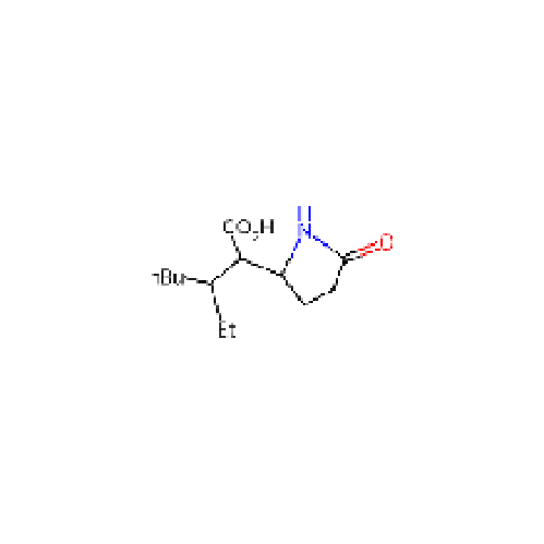 CCCCC(CC)C(C(=O)O)C1CCC(=O)N1